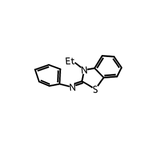 CCn1c(=Nc2ccccc2)sc2ccccc21